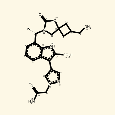 C[C@@H](c1cccc2c(-c3cnn(CC(N)=O)c3)c(C(=O)O)[nH]c12)N1CC2(CC(CN)C2)OC1=O